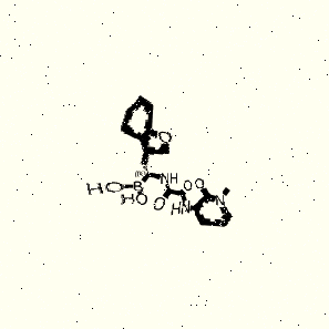 Cn1cccc(NC(=O)C(=O)N[C@@H](Cc2coc3ccccc23)B(O)O)c1=O